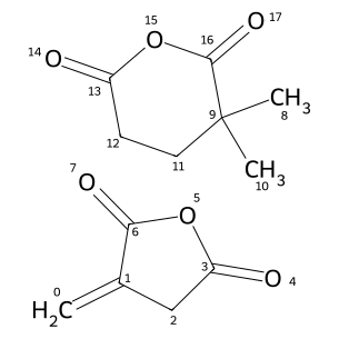 C=C1CC(=O)OC1=O.CC1(C)CCC(=O)OC1=O